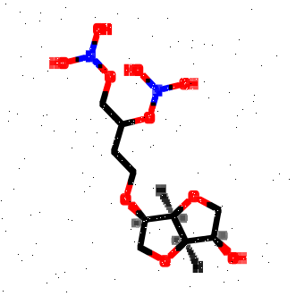 O[C@@H]1CO[C@H]2[C@@H]1OC[C@H]2OCCC(CON(O)O)ON(O)O